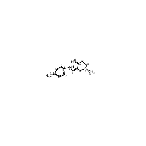 Cc1ccc(N/C=C2/CN(C)CCC2=N)cc1